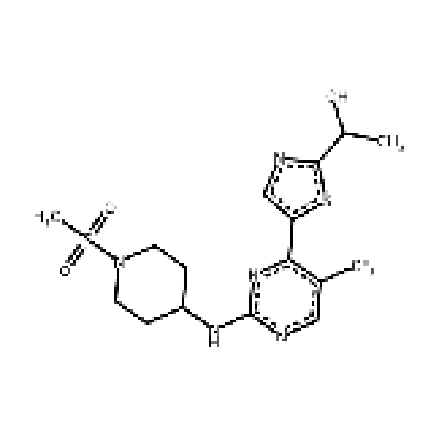 CC(O)c1ncc(-c2nc(NC3CCN(S(C)(=O)=O)CC3)ncc2C(F)(F)F)s1